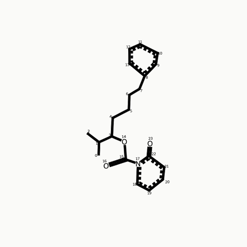 CC(C)C(CCCCc1ccccc1)OC(=O)n1ccccc1=O